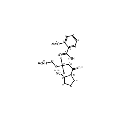 COc1ccccc1C(=O)N[C@H](C(=O)N1CCC[C@H]1C#N)C(C)(C)SCNC(C)=O